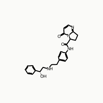 O=C(Nc1ccc(CCNC[C@H](O)c2ccccc2)cc1)C1CCc2nccc(=O)n21